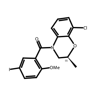 COc1ccc(I)cc1C(=O)N1C[C@H](C)Oc2c(Cl)cccc21